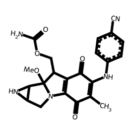 COC12C(COC(N)=O)C3=C(C(=O)C(C)=C(Nc4ccc(C#N)cc4)C3=O)N1CC1NC12